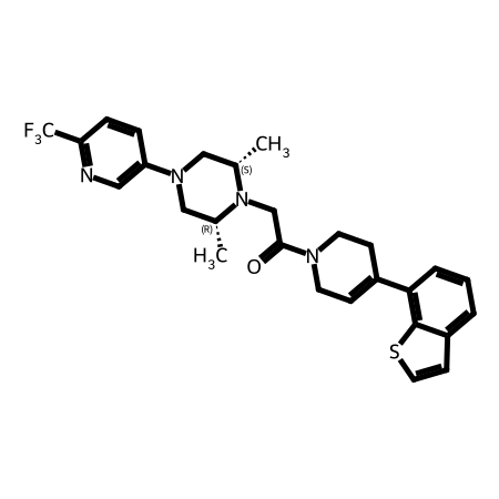 C[C@@H]1CN(c2ccc(C(F)(F)F)nc2)C[C@H](C)N1CC(=O)N1CC=C(c2cccc3ccsc23)CC1